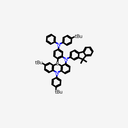 CC(C)(C)c1ccc(N(c2ccccc2)c2ccc3c(c2)N(c2ccc4c(c2)C(C)(C)c2ccccc2-4)c2cccc4c2B3c2cc(C(C)(C)C)ccc2N4c2ccc(C(C)(C)C)cc2)cc1